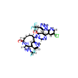 C[C@@H]1CCCC(n2cnc(-c3cc(Cl)cnc3-n3cc(C(F)(F)F)nn3)cc2=O)c2cc(ccn2)-c2c(cnn2C(F)F)NC1=O